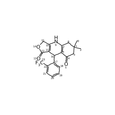 CC1(C)CC(=O)C2=C(C1)NC1=C(C(=O)OC1)C2c1ccccc1C(F)(F)F